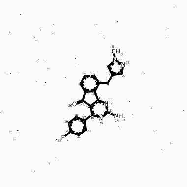 Cn1cc(Cc2cccc3c2-c2nc(N)nc(-c4ccc(F)cc4)c2C3=O)cn1